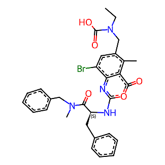 CCN(Cc1cc(Br)c2nc(N[C@@H](Cc3ccccc3)C(=O)N(C)Cc3ccccc3)oc(=O)c2c1C)C(=O)O